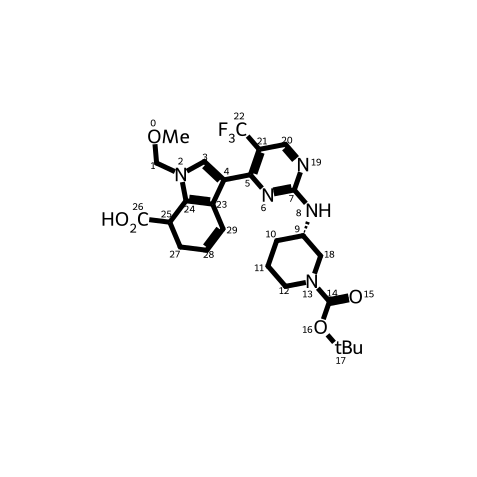 COCn1cc(-c2nc(N[C@H]3CCCN(C(=O)OC(C)(C)C)C3)ncc2C(F)(F)F)c2c1C(C(=O)O)CC=C2